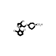 CC(C)c1cnn(-c2c(Cl)cccc2Cl)c1COC1CCCN(C(=O)O)CC1